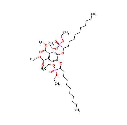 CCCCCCCCCCC(Oc1cc(C(=O)OC)c(C(=O)OC)cc1OC(CCCCCCCCCC)P(=O)(OCC)OCC)P(=O)(OCC)OCC